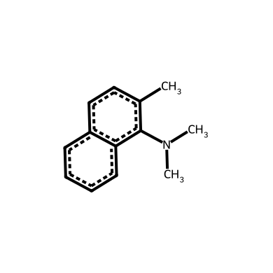 Cc1ccc2ccccc2c1N(C)C